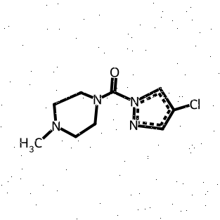 CN1CCN(C(=O)n2cc(Cl)cn2)CC1